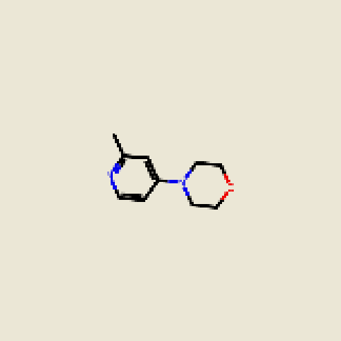 Cc1cc(N2CCOCC2)ccn1